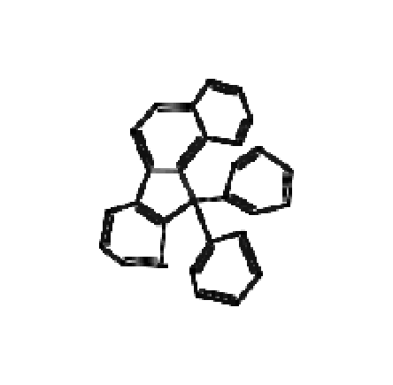 [c]1cccc2c1C(c1ccccc1)(c1ccccc1)c1c-2ccc2ccccc12